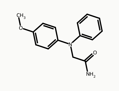 COc1ccc(N(CC(N)=O)c2ccccc2)cc1